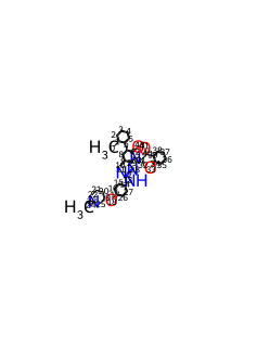 Cc1ccccc1-c1cc2cnc(Nc3ccc(OC4CCCN(C)C4)cc3)nc2n(C2COc3ccccc3C2=O)c1=O